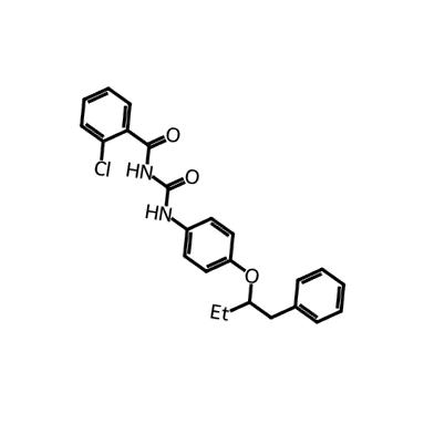 CCC(Cc1ccccc1)Oc1ccc(NC(=O)NC(=O)c2ccccc2Cl)cc1